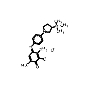 CC1=C/C(=N/c2ccc(N3CCC([N+](C)(C)C)C3)cc2)C(N)=C(Cl)C1=O.[Cl-]